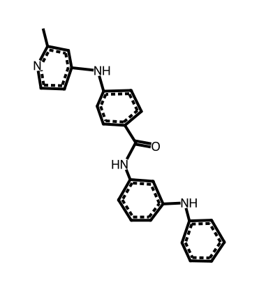 Cc1cc(Nc2ccc(C(=O)Nc3cccc(Nc4ccccc4)c3)cc2)ccn1